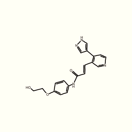 O=C(/C=C/c1cnccc1-c1cn[nH]c1)Nc1ccc(OCCO)cc1